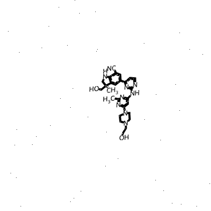 Cc1nc(Nc2nccc(-c3cc(C#N)c4c(c3)[C@@](C)(CO)CN4)n2)cc(N2CCN(CCO)CC2)n1